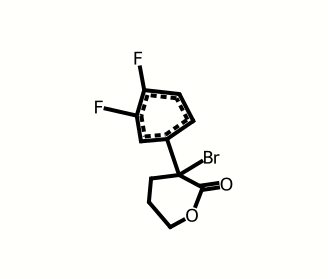 O=C1OCCCC1(Br)c1ccc(F)c(F)c1